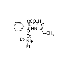 C=CC(=O)NC(C(=O)O)S(=O)(=O)c1ccccc1.CC[N+](CC)(CC)CC